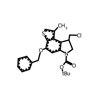 Cc1csc2c(OCc3ccccc3)cc3c(c12)C(CCl)CN3C(=O)OC(C)(C)C